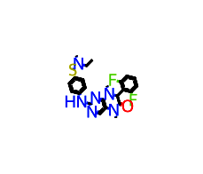 CCN(C)Sc1ccc(Nc2ncc3c(n2)N(C)C(c2c(F)cccc2F)C(=O)N3C)cc1